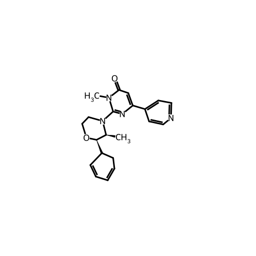 C[C@H]1[C@@H](C2C=CC=CC2)OCCN1c1nc(-c2ccncc2)cc(=O)n1C